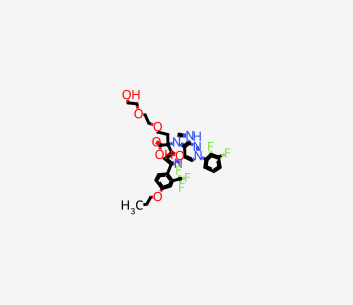 CCCOc1ccc(-c2cc(C(CCOCCOCCO)(C(=O)O)n3cnc4c3C=CN(c3cccc(F)c3F)N4)on2)c(C(F)(F)F)c1